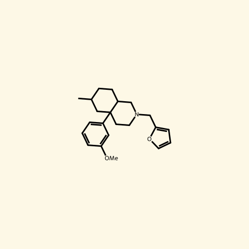 COc1cccc(C23CCN(Cc4ccco4)CC2CCC(C)C3)c1